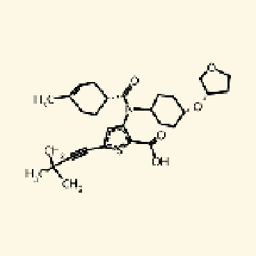 CC1=CC[C@H](C(=O)N(c2cc(C#CC(C)(C)C)sc2C(=O)O)[C@H]2CC[C@H](O[C@H]3CCOC3)CC2)CC1